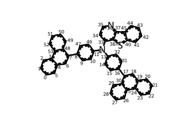 c1ccc2c(c1)cc(-c1ccc(N(c3ccc(-c4cc5ccccc5c5ccccc45)cc3)c3ccnc4c3sc3ccccc34)cc1)c1ccccc12